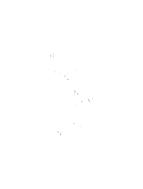 CC(C)(C)OC(=O)Nc1ccccc1NC(=O)c1ccc(CN)cc1